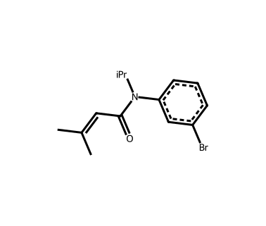 CC(C)=CC(=O)N(c1cccc(Br)c1)C(C)C